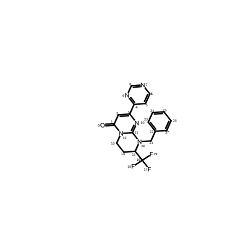 O=c1cc(-c2ccncn2)nc2n1CCC(C(F)(F)F)N2Cc1ccccc1